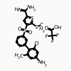 CSc1sc(C(=N)N)cc1S(=O)(=O)c1cccc(-c2c(C)cc(N)cc2Cl)c1.O=C(O)C(F)(F)F